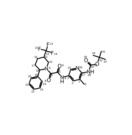 Cc1cc(NC(=O)C(=O)N2CC(C(F)(F)F)CCC2c2ccccc2)cnc1NC(=O)OC(C)(C)C